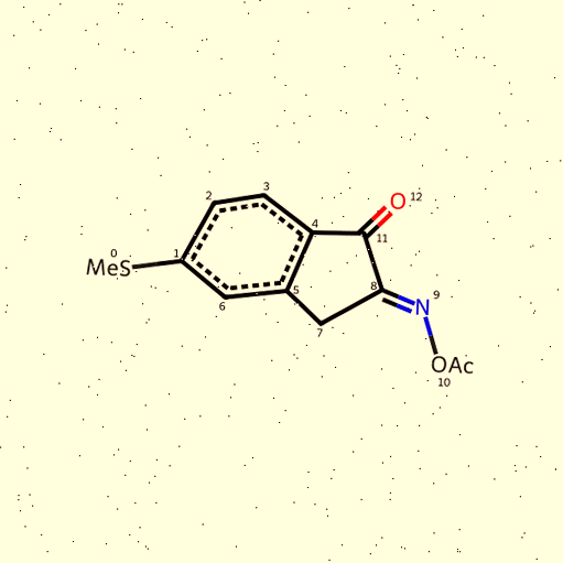 CSc1ccc2c(c1)CC(=NOC(C)=O)C2=O